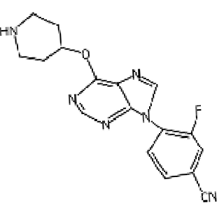 N#Cc1ccc(-n2cnc3c(OC4CCNCC4)ncnc32)c(F)c1